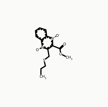 CCCSCc1c(C(=O)OC)[n+]([O-])c2ccccc2[n+]1[O-]